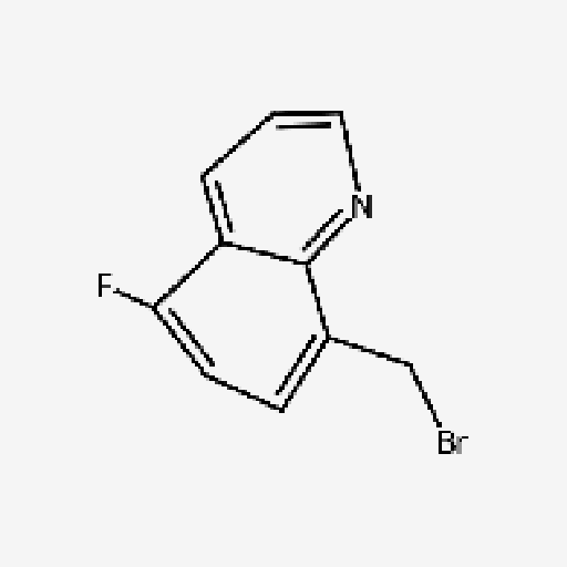 Fc1ccc(CBr)c2ncccc12